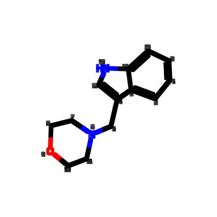 c1ccc2c(CN3CCOCC3)c[nH]c2c1